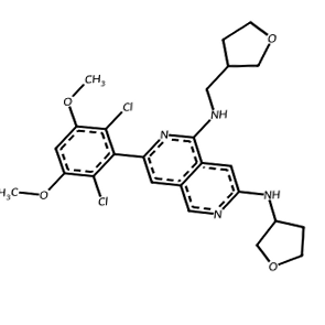 COc1cc(OC)c(Cl)c(-c2cc3cnc(NC4CCOC4)cc3c(NCC3CCOC3)n2)c1Cl